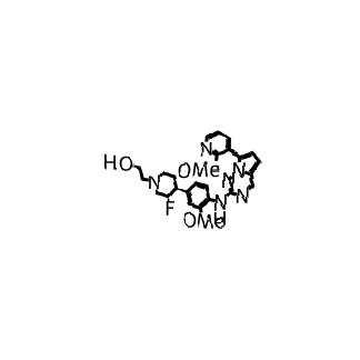 COc1cc([C@@H]2CCN(CCO)C[C@H]2F)ccc1Nc1ncc2ccc(-c3cccnc3OC)n2n1